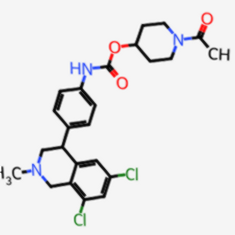 CC(=O)N1CCC(OC(=O)Nc2ccc(C3CN(C)Cc4c(Cl)cc(Cl)cc43)cc2)CC1